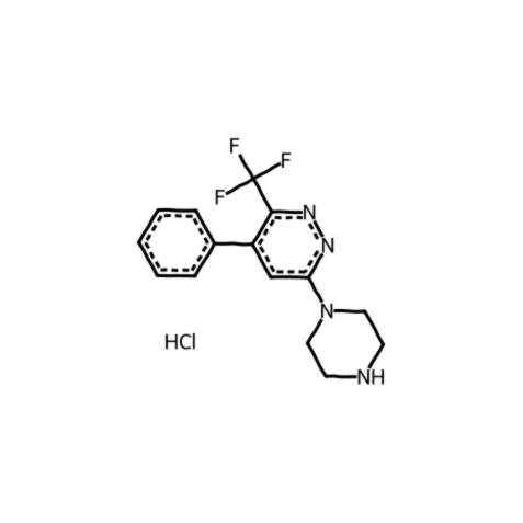 Cl.FC(F)(F)c1nnc(N2CCNCC2)cc1-c1ccccc1